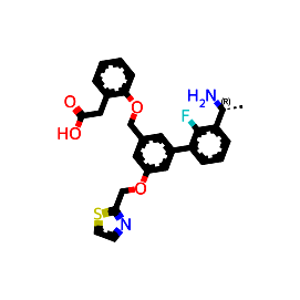 C[C@@H](N)c1cccc(-c2cc(COc3ccccc3CC(=O)O)cc(OCc3nccs3)c2)c1F